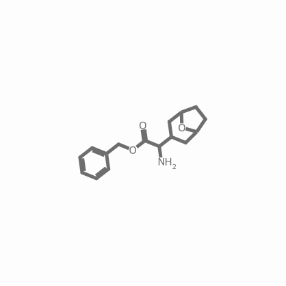 NC(C(=O)OCc1ccccc1)C1CC2CCC(C1)O2